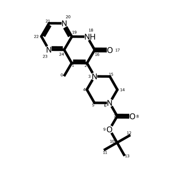 Cc1c(N2CCN(C(=O)OC(C)(C)C)CC2)c(=O)[nH]c2nccnc12